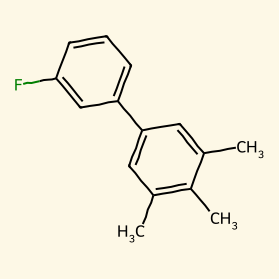 Cc1cc(-c2cccc(F)c2)cc(C)c1C